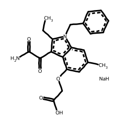 CCc1c(C(=O)C(N)=O)c2c(OCC(=O)O)cc(C)cc2n1Cc1ccccc1.[NaH]